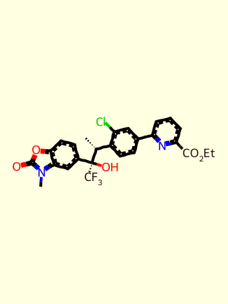 CCOC(=O)c1cccc(-c2ccc([C@@H](C)[C@@](O)(c3ccc4oc(=O)n(C)c4c3)C(F)(F)F)c(Cl)c2)n1